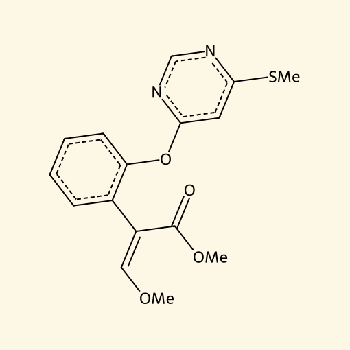 COC=C(C(=O)OC)c1ccccc1Oc1cc(SC)ncn1